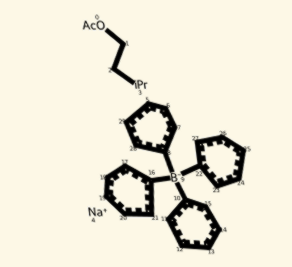 CC(=O)OCCC(C)C.[Na+].c1ccc([B-](c2ccccc2)(c2ccccc2)c2ccccc2)cc1